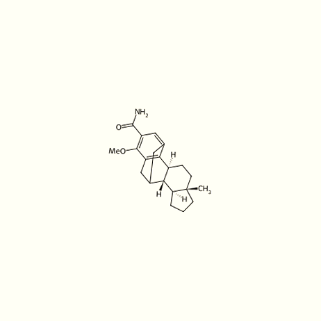 COc1c(C(N)=O)cc2c3c1CC(C2)[C@@H]1[C@@H]3CC[C@]2(C)CCC[C@@H]12